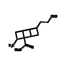 COC(=O)C12C(C)C3C1C1C2CC31CCC=O